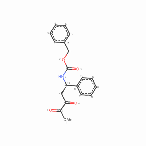 COC(=O)C(=O)C[C@@H](NC(=O)OCc1ccccc1)c1ccccc1